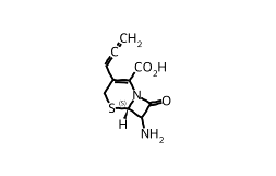 C=C=CC1=C(C(=O)O)N2C(=O)C(N)[C@@H]2SC1